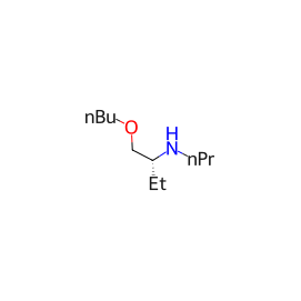 CCCCOC[C@@H](CC)NCCC